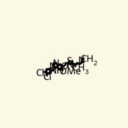 C=N/C=C\C=C(/C)c1csc(COc2cc3ncnc(Nc4ccc(Cl)c(Cl)c4)c3cc2OC)n1